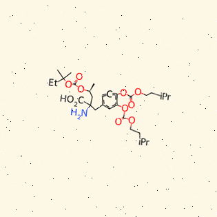 CCC(C)(C)OC(=O)O[C@@H](C)CC(N)(Cc1ccc(OC(=O)OCCC(C)C)c(OC(=O)OCCC(C)C)c1)C(=O)O